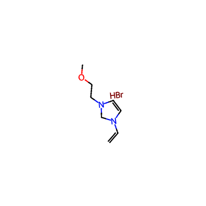 Br.C=CN1C=CN(CCOC)C1